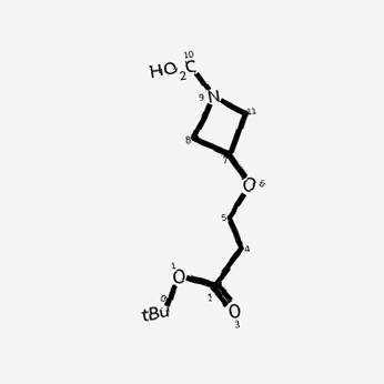 CC(C)(C)OC(=O)CCOC1CN(C(=O)O)C1